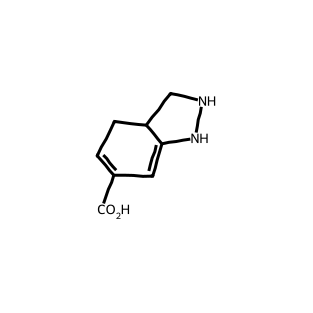 O=C(O)C1=CCC2CNNC2=C1